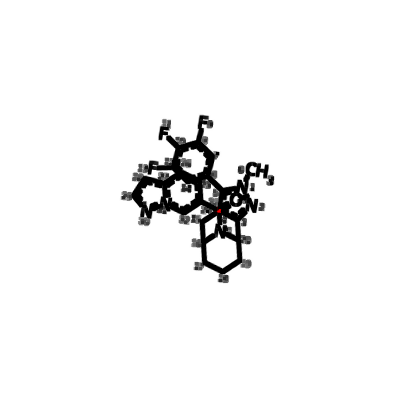 Cn1nc2c(c1-c1cc(F)c(F)c(F)c1)CC1CCCC2N1C(=O)c1ccc2ccnn2c1